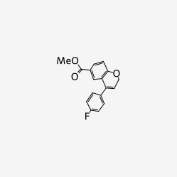 COC(=O)c1ccc2c(c1)C(c1ccc(F)cc1)=CCO2